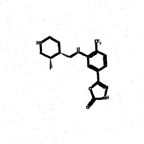 O=c1[nH]nc(-c2ccc(C(F)(F)F)c(NC[C@H]3CCNC[C@H]3F)c2)o1